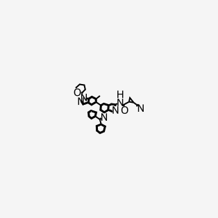 Cc1cc2c(cnn2C2CCCCO2)cc1-c1cc(N=C(c2ccccc2)c2ccccc2)c2cnc(NC(=O)C3CC3C#N)cc2c1